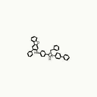 c1ccc(CN2C(c3ccc(Nc4cc5oc6ccccc6c5cc4-c4ccccc4)cc3)N[C@@H]2c2ccc(-c3ccccc3)cc2)cc1